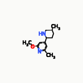 COc1cc(C2CCC(C)CN2)cc(C)n1